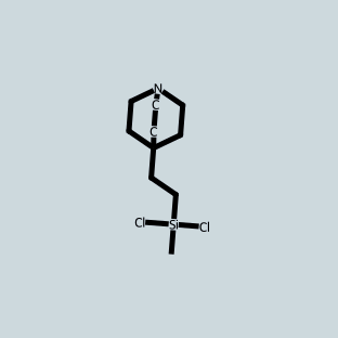 C[Si](Cl)(Cl)CCC12CCN(CC1)CC2